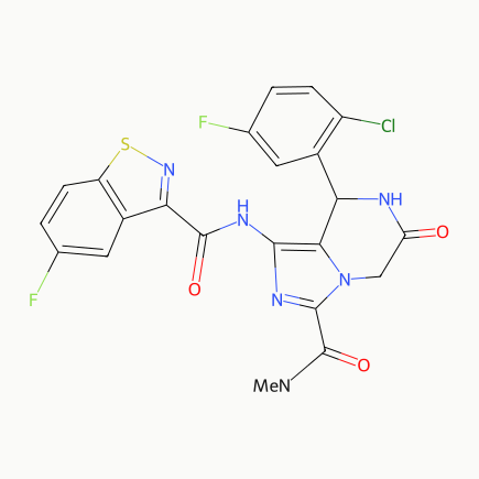 CNC(=O)c1nc(NC(=O)c2nsc3ccc(F)cc23)c2n1CC(=O)NC2c1cc(F)ccc1Cl